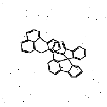 c1ccc2c(c1)-c1ccccc1C21c2ccccc2-c2cccc(-c3cccc4c3Sc3cccc5cccc-4c35)c21